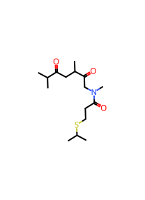 CC(C)SCCC(=O)N(C)CC(=O)C(C)CC(=O)C(C)C